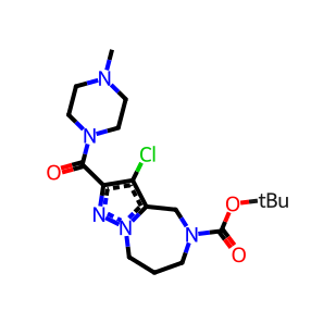 CN1CCN(C(=O)c2nn3c(c2Cl)CN(C(=O)OC(C)(C)C)CCC3)CC1